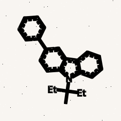 CCC(C)(CC)n1c2ccccc2c2cc(-c3ccccc3)ccc21